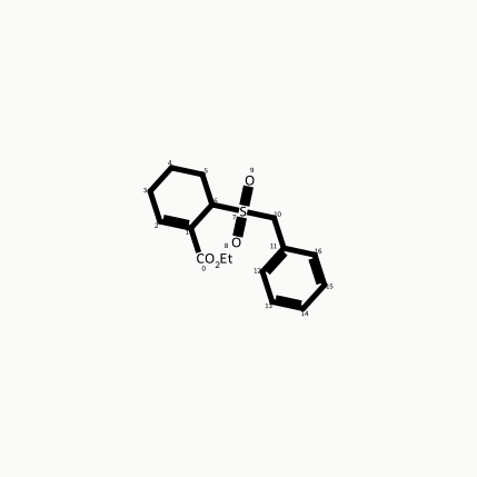 CCOC(=O)C1=CCCCC1S(=O)(=O)Cc1ccccc1